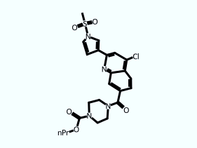 CCCOC(=O)N1CCN(C(=O)c2ccc3c(Cl)cc(-c4ccn(S(C)(=O)=O)c4)nc3c2)CC1